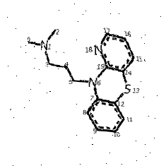 CN(C)CCCN1c2ccccc2Sc2cccnc21